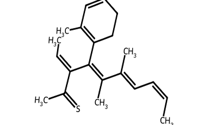 C\C=C/C=C(C)/C(C)=C(C1=C(C)C=CCC1)/C(=C\C)C(C)=S